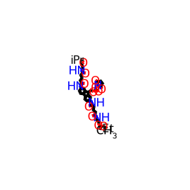 CCOC(C)OCCNC(=O)CCCC(=O)Nc1ccc2c(c1)C(COC(=O)ON1C(=O)CCC1=O)c1cc(NC(=O)CCCC(=O)NCCOC(C)C)ccc1-2